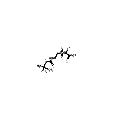 CC(C)(C)OC(=O)NCCS(=O)(=O)C(F)C(=O)O